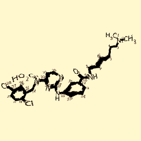 CN(C)CCCCCCNC(=O)c1cccc(Nc2nccc(N(Cc3cc(Cl)ccc3Cl)C(=O)O)n2)c1